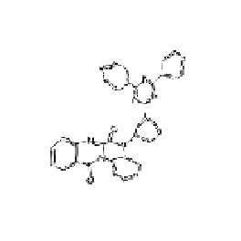 O=c1c2nc3ccccc3c(=O)n2c2ccccc2n1-c1cccc(-c2nc(-c3ccccc3)nc(-c3ccccc3)n2)c1